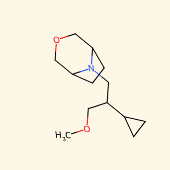 COCC(CN1C2CCC1COC2)C1CC1